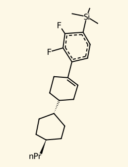 CCC[C@H]1CC[C@H](C2CC=C(c3ccc([Si](C)(C)C)c(F)c3F)CC2)CC1